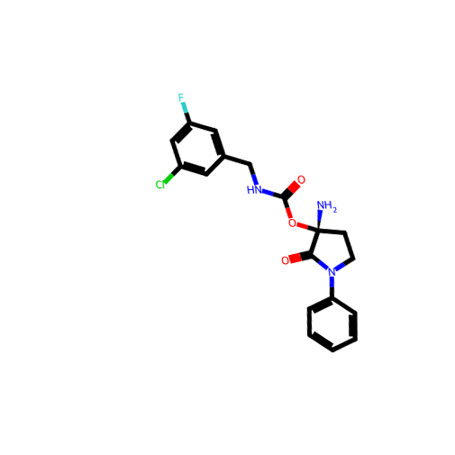 N[C@@]1(OC(=O)NCc2cc(F)cc(Cl)c2)CCN(c2ccccc2)C1=O